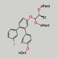 CCCCCCCCOc1ccc(-c2cc(OC(OCCCCC)[C@H](CC)OCCCCC)ccc2-c2cccc(F)c2)cc1